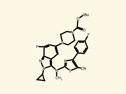 CN(c1nc(-c2ccc(F)cc2)c(C#N)s1)c1c2cc(N3CCN(C(=O)OC(C)(C)C)CC3)cc(F)c2nn1C1CC1